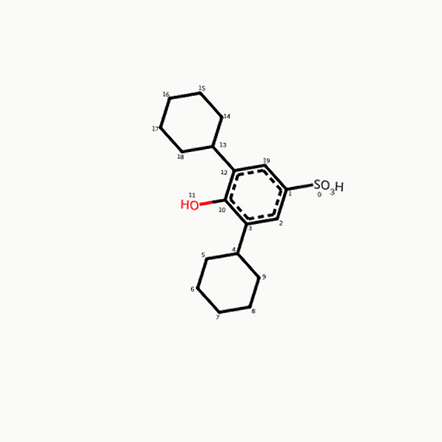 O=S(=O)(O)c1cc(C2CCCCC2)c(O)c(C2CCCCC2)c1